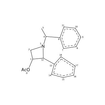 CC(=O)OC1CN(C(C)c2ccccc2)C1c1ccccc1